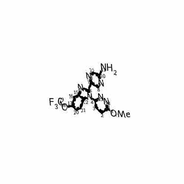 COc1ccc(-n2c(-c3cnc(N)cn3)nc3cc(OC(F)(F)F)ccc32)nn1